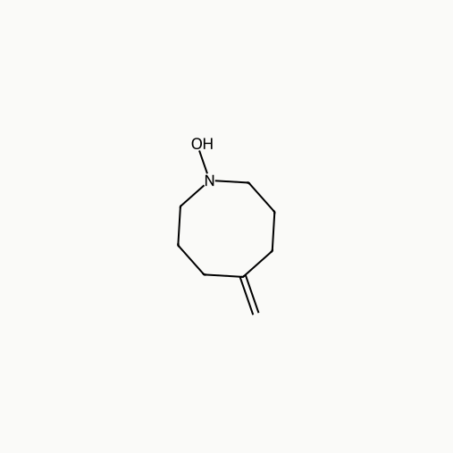 C=C1CCCN(O)CCC1